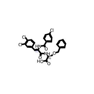 O=C(N[C@@H](COCc1ccccc1)C(=O)O)/C(=C/c1ccc(Cl)c(Cl)c1)NC(=O)c1ccc(Cl)cc1